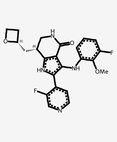 COc1c(F)cccc1Nc1c(-c2ccncc2F)[nH]c2c1C(=O)NC[C@H]2C[C@H]1CCO1